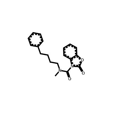 CN(CCCCc1ccccc1)C(=O)n1c(=O)oc2ccccc21